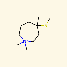 CSC1(C)CCC[N+](C)(C)CC1